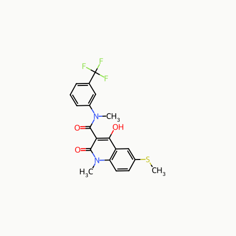 CSc1ccc2c(c1)c(O)c(C(=O)N(C)c1cccc(C(F)(F)F)c1)c(=O)n2C